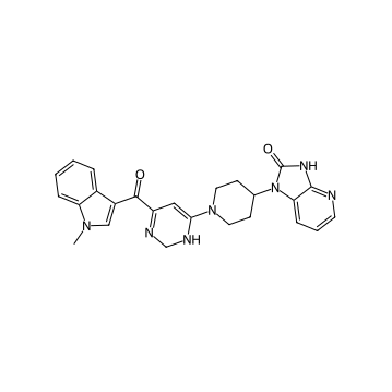 Cn1cc(C(=O)C2=NCNC(N3CCC(n4c(=O)[nH]c5ncccc54)CC3)=C2)c2ccccc21